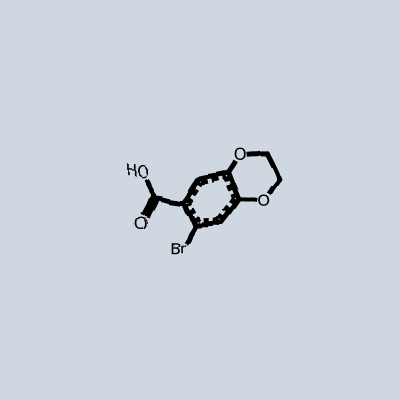 O=C(O)c1cc2c(cc1Br)OCCO2